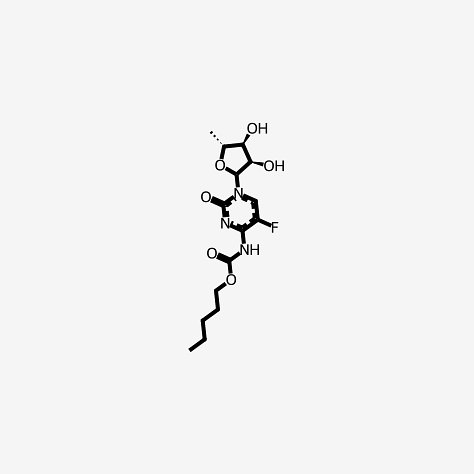 CCCCCOC(=O)Nc1nc(=O)n(C2O[C@H](C)[C@@H](O)[C@H]2O)cc1F